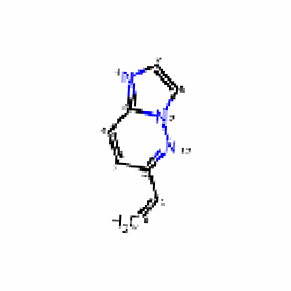 C=Cc1ccc2nccn2n1